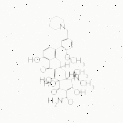 COc1ccc(CN2CCCCC2)cc1-c1ccc(O)c2c1C[C@@H]1C[C@@H]3C(N(C)C)C(O)=C(C(N)=O)C(=O)[C@]3(O)C(O)=C1C2=O